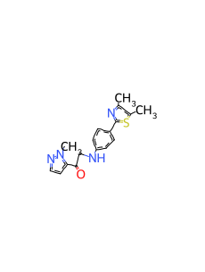 Cc1nc(-c2ccc(NCC(=O)c3ccnn3C)cc2)sc1C